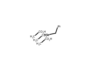 CC(=O)O.CC(=O)O.CC(=O)O.CC(C)[CH2][SnH]